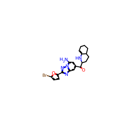 Nc1cc(C(=O)C2CCC3CCCC=C3N2)cc2nc(-c3ccc(Br)o3)nn12